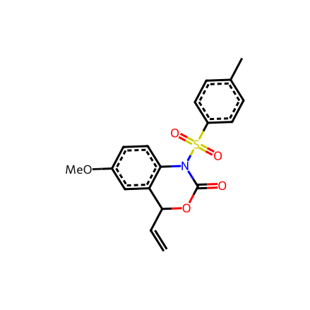 C=CC1OC(=O)N(S(=O)(=O)c2ccc(C)cc2)c2ccc(OC)cc21